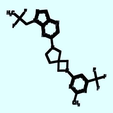 Cc1nc(N2CC3(CCN(c4cnc5cnn(CC(C)(F)F)c5n4)C3)C2)cc(C(F)(F)F)n1